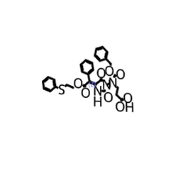 O=C(O)CCN(C(=O)OCc1ccccc1)N1C(=O)N/C(=C(\C(=O)OCCSc2ccccc2)c2ccccc2)C1=O